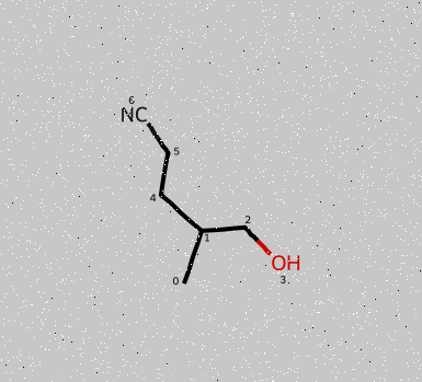 CC(CO)CCC#N